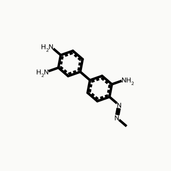 CN=Nc1ccc(-c2ccc(N)c(N)c2)cc1N